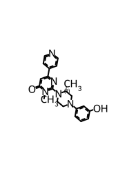 C[C@@H]1CN(c2cccc(O)c2)CCN1c1nc(-c2ccncc2)cc(=O)n1C